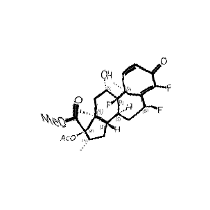 COC(=O)[C@@]1(OC(C)=O)[C@@H](C)C[C@H]2[C@@H]3C[C@H](F)C4=C(F)C(=O)C=C[C@]4(C)[C@@]3(F)[C@@H](O)C[C@@]21C